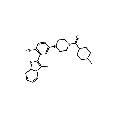 Cc1c(-c2cc(N3CCN(C(=O)C4CCN(C)CC4)CC3)ccc2Cl)nc2ccccn12